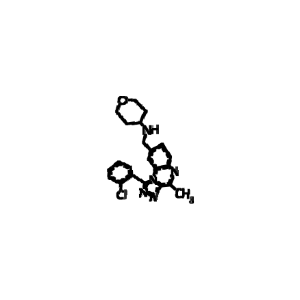 Cc1nc2ccc(CNC3CCOCC3)cc2n2c(-c3ccccc3Cl)nnc12